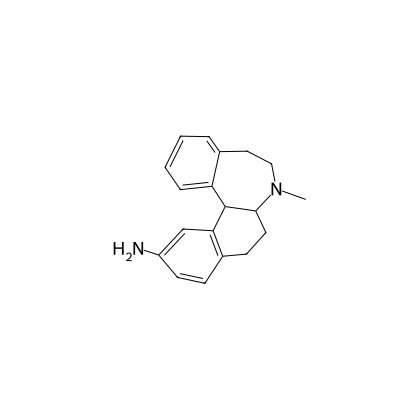 CN1CCc2ccccc2C2c3cc(N)ccc3CCC21